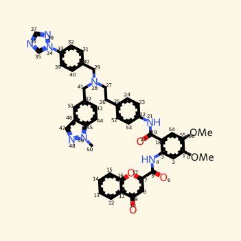 COc1cc(NC(=O)c2cc(=O)c3ccccc3o2)c(C(=O)Nc2ccc(CCN(Cc3ccc(-n4cncn4)cc3)Cc3ccc4c(cnn4C)c3)cc2)cc1OC